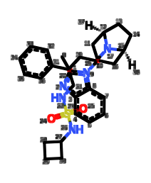 Cc1nc2ccccc2n1C1C[C@H]2CC[C@@H](C1)N2CCC(CNS(=O)(=O)NC1CCC1)c1ccccc1